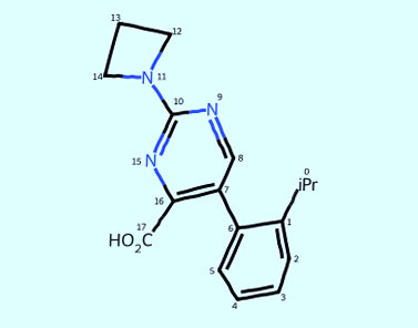 CC(C)c1ccccc1-c1cnc(N2CCC2)nc1C(=O)O